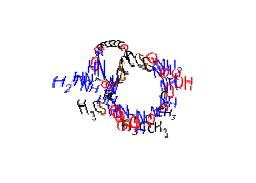 CC[C@H](C)[C@@H]1NC(=O)[C@H](CC(=O)O)NC(=O)[C@H](CCSC)NC[C@@H]2CCCN2C(=O)[C@@H]2CSCc3cc(cc(c3)OCCCCCCO/N=C/C(=O)N[C@@H](CCCNC(=N)N)C(=O)N2)CSC[C@@H](C(N)=O)NC(=O)[C@H](CCC(=O)O)NC(=O)CNC(=O)[C@H](C)NC1=O